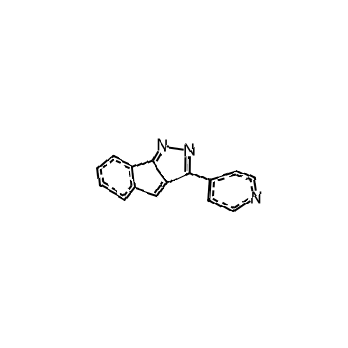 C1=C2C(c3ccncc3)=NN=C2c2ccccc21